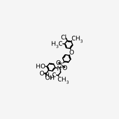 Cc1cc(Oc2ccc(S(=O)(=O)N(CC(C)C)c3ccc(O)c(C(=O)O)c3)cc2)cc(C)c1Cl